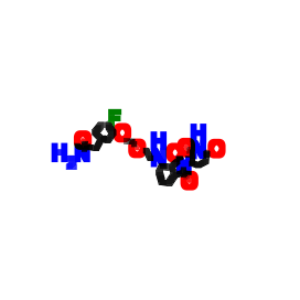 NC(=O)Cc1ccc(F)c(OCCOCCNc2cccc3c2C(=O)N(C2CCC(=O)NC2=O)C3=O)c1